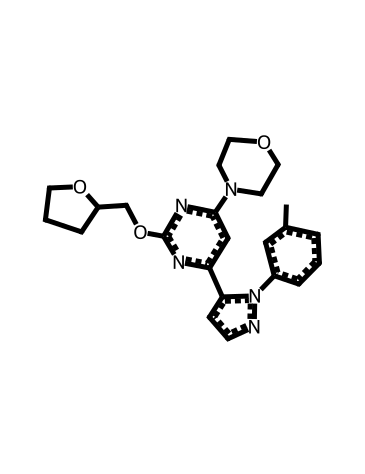 Cc1cccc(-n2nccc2-c2cc(N3CCOCC3)nc(OCC3CCCO3)n2)c1